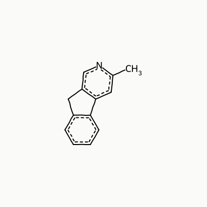 Cc1cc2c(cn1)Cc1ccccc1-2